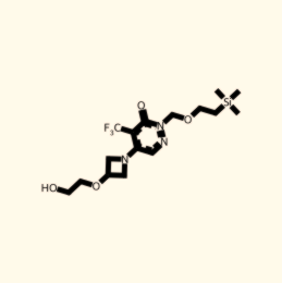 C[Si](C)(C)CCOCn1ncc(N2CC(OCCO)C2)c(C(F)(F)F)c1=O